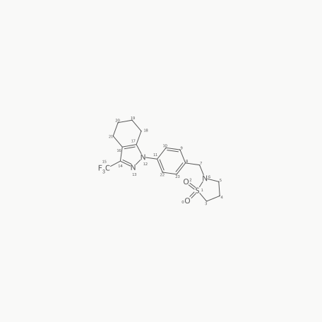 O=S1(=O)CCCN1Cc1ccc(-n2nc(C(F)(F)F)c3c2CCCC3)cc1